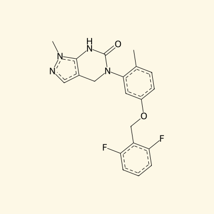 Cc1ccc(OCc2c(F)cccc2F)cc1N1Cc2cnn(C)c2NC1=O